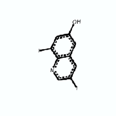 Oc1cc(I)c2ncc(I)cc2c1